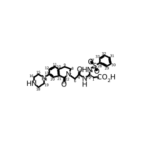 O=C(O)C[C@@H](NC(=O)CN1CCc2ccc(N3CCNCC3)cc2C1=O)NS(=O)(=O)c1ccccc1